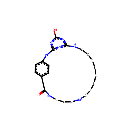 O=C1NCCCNCCCCCCCCNc2nc(O)nc(n2)Nc2ccc1cc2